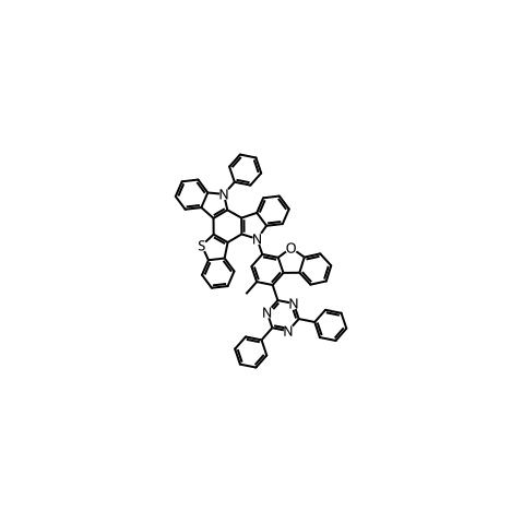 Cc1cc(-n2c3ccccc3c3c4c(c5ccccc5n4-c4ccccc4)c4sc5ccccc5c4c32)c2oc3ccccc3c2c1-c1nc(-c2ccccc2)nc(-c2ccccc2)n1